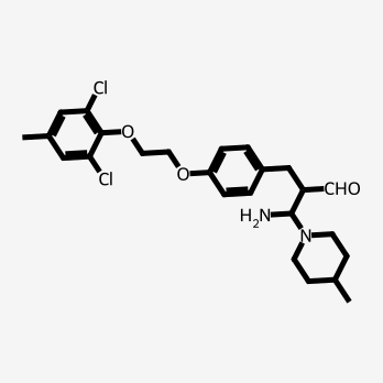 Cc1cc(Cl)c(OCCOc2ccc(CC(C=O)C(N)N3CCC(C)CC3)cc2)c(Cl)c1